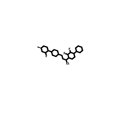 CCC(CCC1CCC(C2CC[C@H](C)CC2F)CC1)C1CCC(C2CCCCC2)C(F)C1F